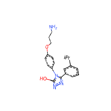 CC(C)c1cccc(-c2nnc(O)n2-c2ccc(OCCCN)cc2)c1